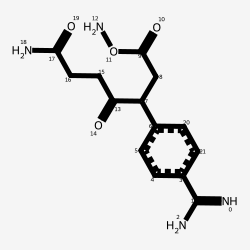 N=C(N)c1ccc(C(CC(=O)ON)C(=O)CCC(N)=O)cc1